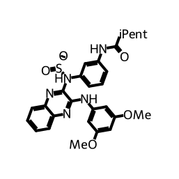 CCCC(C)C(=O)Nc1cccc(N(c2nc3ccccc3nc2Nc2cc(OC)cc(OC)c2)[SH](=O)=O)c1